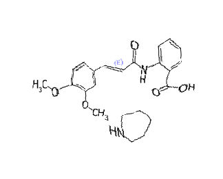 C1CCNCC1.COc1ccc(/C=C/C(=O)Nc2ccccc2C(=O)O)cc1OC